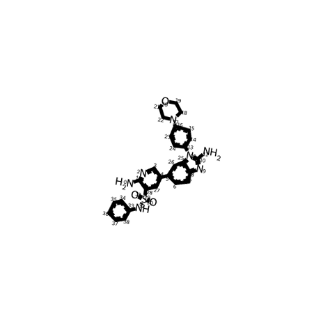 Nc1ncc(-c2ccc3nc(N)n(-c4ccc(N5CCOCC5)cc4)c3c2)cc1S(=O)(=O)Nc1ccccc1